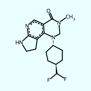 CN1CN([C@H]2CC[C@H](C(F)F)CC2)c2c(cnc3c2CCN3)C1=O